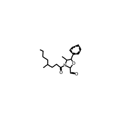 CCCCC(C)CCC(=O)N1C(C=O)OC(c2ccccc2)C1C